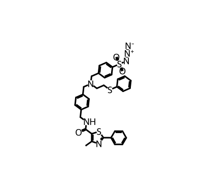 Cc1nc(-c2ccccc2)sc1C(=O)NCc1ccc(CN(CCSc2ccccc2)Cc2ccc(S(=O)(=O)N=[N+]=[N-])cc2)cc1